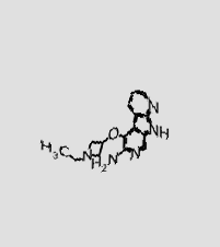 CCN1CC(Oc2c(N)ncc3[nH]c4ncccc4c23)C1